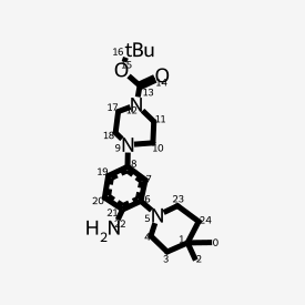 CC1(C)CCN(c2cc(N3CCN(C(=O)OC(C)(C)C)CC3)ccc2N)CC1